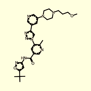 COCCCN1CCN(c2cncc(-c3cn(-c4cc(C(=O)Nc5cc(C(C)(C)C)on5)cnc4C)nn3)c2)CC1